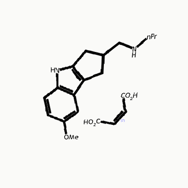 CCCNCC1Cc2[nH]c3ccc(OC)cc3c2C1.O=C(O)/C=C\C(=O)O